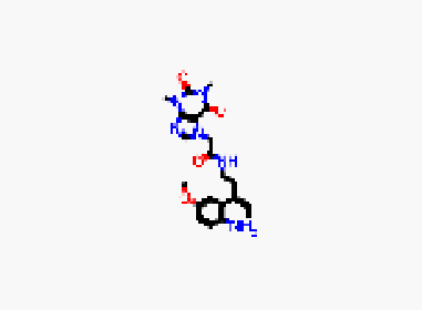 C/C=C(/CCNC(=O)Cn1cnc2c1c(=O)n(C)c(=O)n2C)c1cc(OC)ccc1N